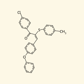 Cc1ccc(SC(=Cc2ccc(Oc3ccccc3)cc2)C(=O)c2ccc(Cl)cc2)cc1